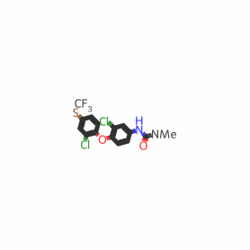 CNC(=O)Nc1ccc(Oc2ccc(SC(F)(F)F)cc2Cl)c(Cl)c1